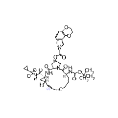 CC(C)(C)OC(=O)N[C@H]1CCCCC/C=C\[C@@H]2C[C@@]2(C(=O)NS(=O)(=O)C2CC2)NC(=O)C2C[C@@H](OC(=O)N3Cc4ccc5c(c4C3)OCCO5)CN2C1=O